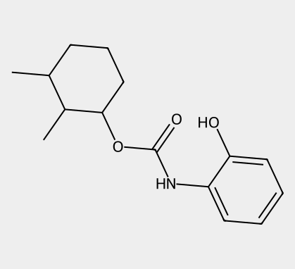 CC1CCCC(OC(=O)Nc2ccccc2O)C1C